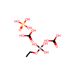 CCO[Si](O)(O)O.O=C(O)O.O=C(O)O.O=P(O)(O)O